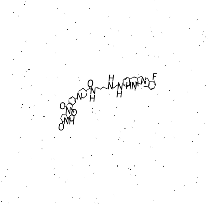 CN[C@H]1CN(Cc2c(C)cccc2F)CC1Cc1ccc(NCCNCCCCNC(=O)C2CCN(c3ccc4c(c3)C(=O)N(C3CCC(=O)NC3=O)C4=O)CC2)cc1